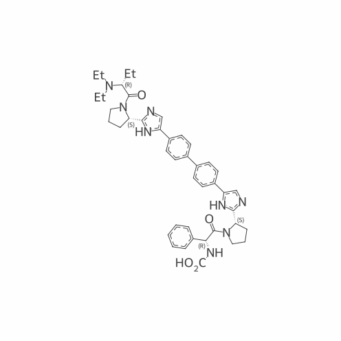 CC[C@H](C(=O)N1CCC[C@H]1c1ncc(-c2ccc(-c3ccc(-c4cnc([C@@H]5CCCN5C(=O)[C@H](NC(=O)O)c5ccccc5)[nH]4)cc3)cc2)[nH]1)N(CC)CC